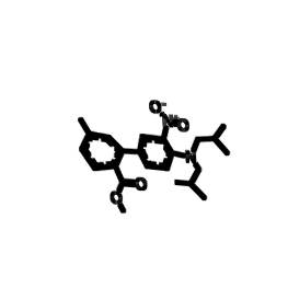 COC(=O)c1ccc(C)cc1-c1ccc(N(CC(C)C)CC(C)C)c([N+](=O)[O-])c1